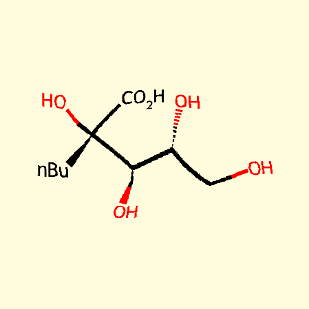 CCCC[C@@](O)(C(=O)O)[C@H](O)[C@H](O)CO